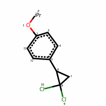 CC(C)Oc1ccc(C2CC2(Cl)Cl)cc1